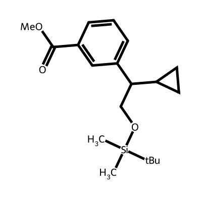 COC(=O)c1cccc(C(CO[Si](C)(C)C(C)(C)C)C2CC2)c1